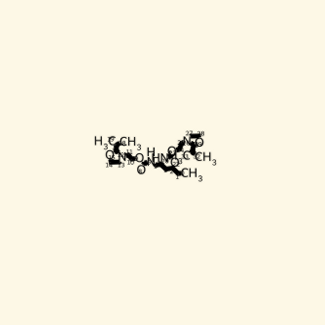 CCCCC(CNC(=O)OCCN1CCOC1C(C)C)NC(=O)OCCN1CCOC1C(C)C